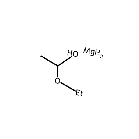 CCOC(C)O.[MgH2]